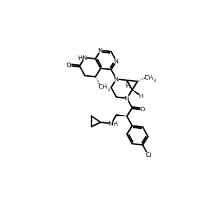 C[C@@H]1[C@H]2[C@@H]1N(c1ncnc3c1[C@H](C)CC(=O)N3)CCN2C(=O)[C@H](CNC1CC1)c1ccc(Cl)cc1